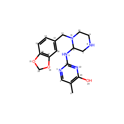 Cc1cnc(NC2CNCCN2Cc2ccc3c(c2)OCO3)nc1O